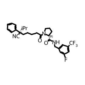 CC(C)[C@@](C#N)(CCCCC(=O)N1CCC[C@@H]1C(=O)NCc1cc(F)cc(C(F)(F)F)c1)c1ccccc1